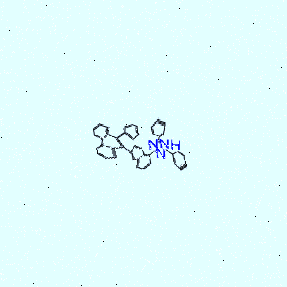 c1ccc(C2=NC(c3cccc4cc(-c5c(-c6ccccc6)c6ccccc6c6ccccc56)ccc34)=NC(c3ccccc3)N2)cc1